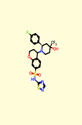 O=S(=O)(Nc1ncns1)c1ccc2c(c1)OCCC2N1CC[C@](O)(C(F)(F)F)C[C@@H]1c1ccc(F)cc1